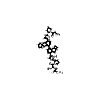 COC(=O)N[C@H](C(=O)N1CCC[C@@H]1c1ncc(-c2ccc(-c3ccc(-c4cnc([C@@H]5CCCN5C(=O)CC(C)C)[nH]4)c4c3CC3(CCCC3)C4)c3c2CC2CCC32)[nH]1)C(C)C